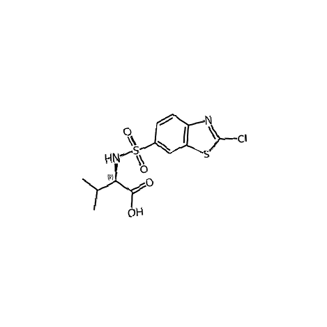 CC(C)[C@@H](NS(=O)(=O)c1ccc2nc(Cl)sc2c1)C(=O)O